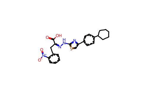 O=C(O)C(Cc1ccccc1[N+](=O)[O-])=NNc1nc(-c2ccc(C3CCCCC3)cc2)cs1